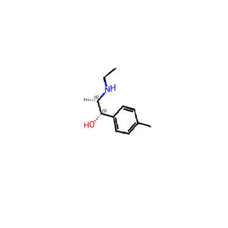 CCN[C@@H](C)[C@@H](O)c1ccc(C)cc1